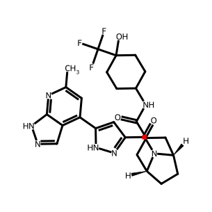 Cc1cc(-c2cc(C(=O)N3[C@@H]4CC[C@H]3CC(C(=O)NC3CCC(O)(C(F)(F)F)CC3)C4)n[nH]2)c2cn[nH]c2n1